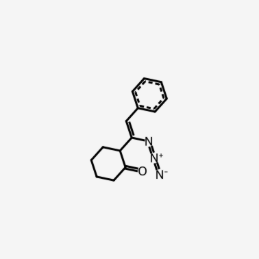 [N-]=[N+]=N/C(=C\c1ccccc1)C1CCCCC1=O